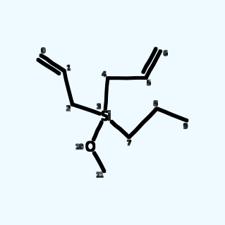 C=CC[Si](CC=C)(CCC)OC